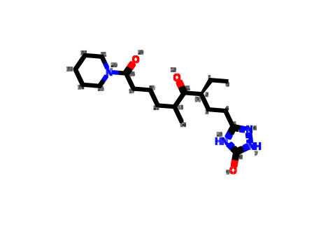 CC[C@@H](CCc1n[nH]c(=O)[nH]1)C(=O)C(C)CCCC(=O)N1CCCCC1